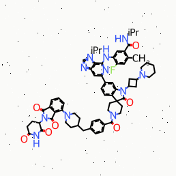 Cc1cc(F)c(Nc2nc(-c3ccc4c(c3)N(C3CC(N5CCCCC5)C3)C(=O)C43CCN(C(=O)c4ccc(CC5CCN(c6cccc7c6C(=O)N(C6CCC(=O)NC6=O)C7=O)CC5)cc4)CC3)cc3ncn(C(C)C)c23)cc1C(=O)NC(C)C